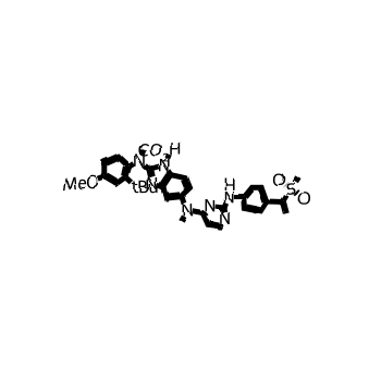 COc1ccc(N(C(=O)O)c2nc3cc(N(C)c4ccnc(Nc5ccc(C(C)S(C)(=O)=O)cc5)n4)ccc3n2C)c(C(C)(C)C)c1